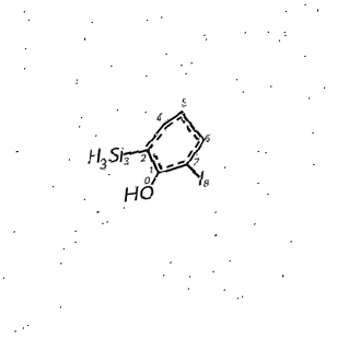 Oc1c([SiH3])cccc1I